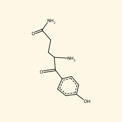 NC(=O)CCC(N)C(=O)c1ccc(O)cc1